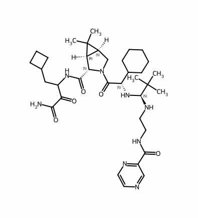 CC(C)(C)[C@@H](NCCNC(=O)c1cnccn1)N[C@H](C(=O)N1C[C@H]2[C@@H]([C@H]1C(=O)NC(CC1CCC1)C(=O)C(N)=O)C2(C)C)C1CCCCC1